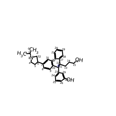 CC(C)N1CCC(c2ccc(/C(=C(/CCCO)c3ccccc3)c3cccc(O)c3)cc2)C1